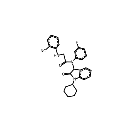 N#Cc1ccccc1NCC(=O)N(c1cccc(F)c1)C1C(=O)N(C2CCCCC2)c2ccccc21